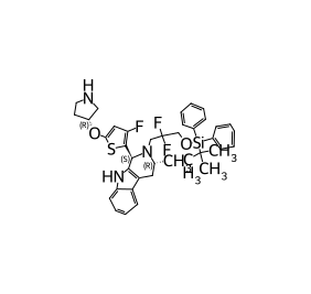 C[C@@H]1Cc2c([nH]c3ccccc23)[C@@H](c2sc(O[C@@H]3CCNC3)cc2F)N1CC(F)(F)CO[Si](c1ccccc1)(c1ccccc1)C(C)(C)C